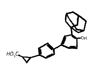 O=C(O)C1CC1c1ccc(-c2ccc(O)c(C34CC5CC(CC(C5)C3)C4)c2)cc1